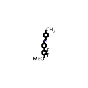 C=CC1C=CC(/C=C/C2CCC(c3ccc(COC)c(F)c3F)CC2)CC1